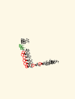 CC(=O)[O-].CC(=O)[O-].CC(=O)[O-].CC(=O)[O-].CC(=O)[O-].CC(=O)[O-].CC(=O)[O-].CC(=O)[O-].[Br-].[Br-].[Pb+2].[Pb+2].[Pb+2].[Pb+2].[Pb+2]